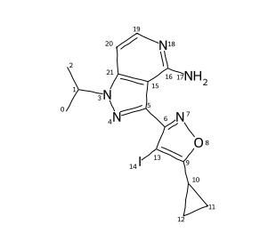 CC(C)n1nc(-c2noc(C3CC3)c2I)c2c(N)nccc21